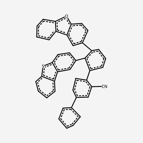 N#Cc1cc(-c2ccccc2)ccc1-c1cccc(-c2ccc3oc4ccccc4c3c2)c1-c1ccc2sc3ccccc3c2c1